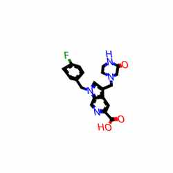 O=C1CN(Cc2cn(Cc3ccc(F)cc3)c3cnc(C(=O)O)cc23)CCN1